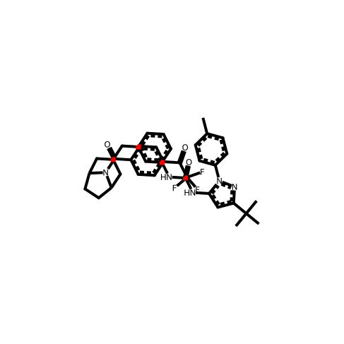 Cc1ccc(-n2nc(C(C)(C)C)cc2NC(=O)Nc2cccc(CC3CC4CCC(C3)N4C(=O)c3ccc(C(=O)C(F)(F)F)cc3)c2)cc1